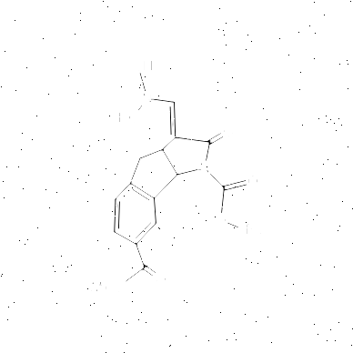 COC(=O)c1ccc2c(c1)C1C(C2)/C(=C\N(C)C)C(=O)N1C(=O)OC(C)(C)C